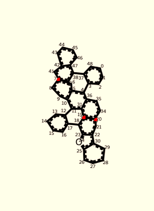 c1ccc(-c2c3ccccc3c(-c3ccccc3-c3cccc4c3oc3ccccc34)c3ccccc23)c(-c2cccc3ccccc23)c1